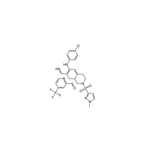 Cn1ccc(S(=O)(=O)N2CCC3=CC(Nc4ccc(Cl)cc4)=C(C=N)C[C@]3(C(=O)c3cc(C(F)(F)F)ccn3)C2)n1